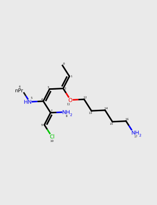 C\C=C(/C=C(NCCC)\C(N)=C\Cl)OCCCCCN